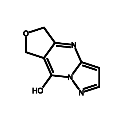 Oc1c2c(nc3ccnn13)COC2